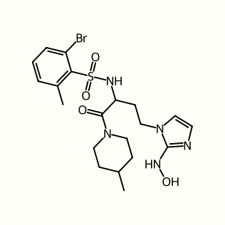 Cc1cccc(Br)c1S(=O)(=O)NC(CCn1ccnc1NO)C(=O)N1CCC(C)CC1